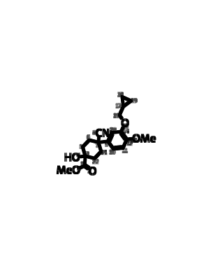 COC(=O)C1(O)CCC(C#N)(c2ccc(OC)c(OCC3CC3)c2)CC1